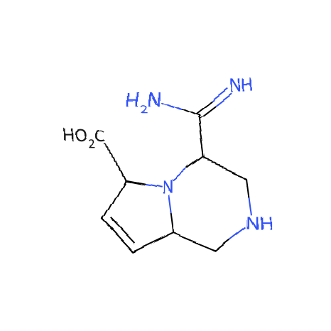 N=C(N)C1CNCC2C=CC(C(=O)O)N21